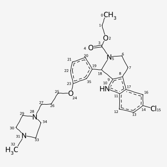 CCOC(=O)N1CCc2c([nH]c3ccc(Cl)cc23)C1c1cccc(OCCCN2CCN(C)CC2)c1